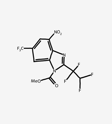 COC(=O)n1c(C(F)(F)C(F)F)nc2c([N+](=O)[O-])cc(C(F)(F)F)cc21